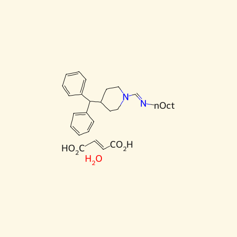 CCCCCCCC/N=C/N1CCC(C(c2ccccc2)c2ccccc2)CC1.O.O=C(O)/C=C/C(=O)O